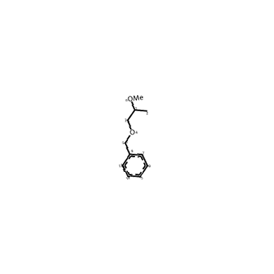 COC(C)CO[CH]c1ccccc1